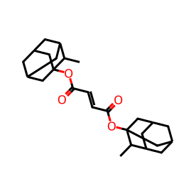 CC1C2CC3CC(C2)CC1(OC(=O)/C=C/C(=O)OC12CC4CC(CC(C4)C1C)C2)C3